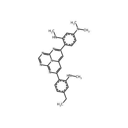 CCc1ccc(C2=CC3=CC(c4ccc(N(C)C)cc4NC)=NC4=NC=NC(=N2)N34)c(NC)c1